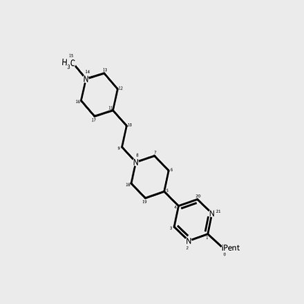 CCCC(C)c1ncc(C2CCN(CCC3CCN(C)CC3)CC2)cn1